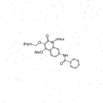 CCCCCCn1c(=O)c(OCC(C)CCC)c(OC)c2ccc(NC(=O)c3ccccc3)cc21